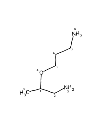 CC(CN)OCCCN